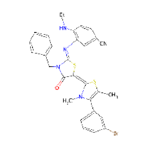 CCNc1ccc(C#N)cc1N=C1SC(=C2SC(C)=C(c3cccc(Br)c3)N2C)C(=O)N1Cc1ccccc1